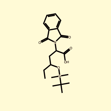 CCC(CC(C(=O)O)N1C(=O)c2ccccc2C1=O)O[Si](C)(C)C(C)(C)C